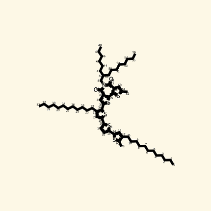 CCCCCCCCCCCCc1cc(-c2ccc(-c3cc(CCCCCCCCCCCC)c(-c4cc5c(=O)n(CC(CCCCCC)CCCCCCCC)c(=O)c6cc(C)sc6c5s4)s3)s2)sc1C